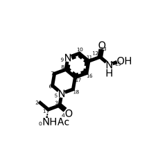 CC(=O)N[C@H](C)C(=O)N1CCc2ncc(C(=O)NO)cc2C1